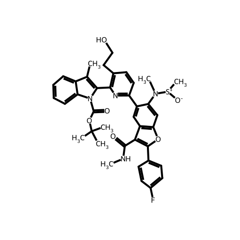 CNC(=O)c1c(-c2ccc(F)cc2)oc2cc(N(C)[S+](C)[O-])c(-c3ccc(CCO)c(-c4c(C)c5ccccc5n4C(=O)OC(C)(C)C)n3)cc12